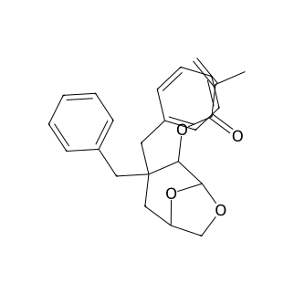 C=C(C)C(=O)OC1C2OCC(CC1(Cc1ccccc1)Cc1ccccc1)O2